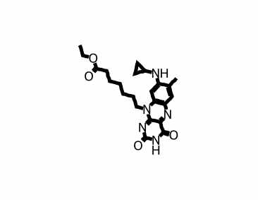 CCOC(=O)CCCCCCn1c2nc(=O)[nH]c(=O)c-2nc2cc(C)c(NC3CC3)cc21